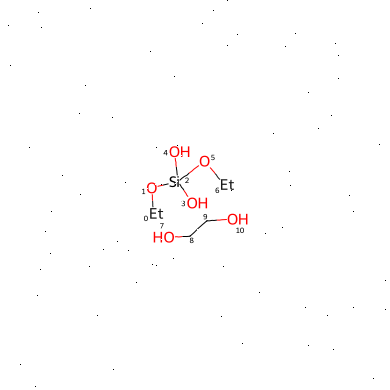 CCO[Si](O)(O)OCC.OCCO